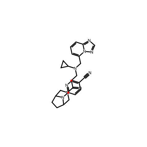 N#Cc1ccc(N2C3CCC2CN(C(=O)CCN(Cc2cccc4ncnn24)C2CC2)C3)nc1